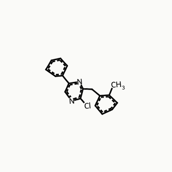 Cc1ccccc1Cc1nc(-c2ccccc2)cnc1Cl